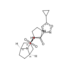 O=C(N[C@H]1C[C@H]2CC[C@@H](C1)N2S(=O)(=O)C1CCNC1)c1cc(C2CC2)on1